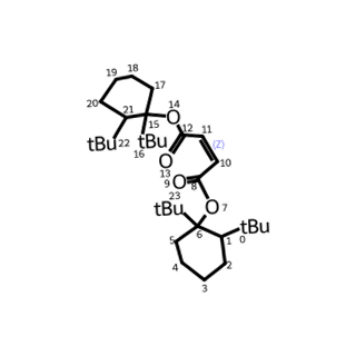 CC(C)(C)C1CCCCC1(OC(=O)/C=C\C(=O)OC1(C(C)(C)C)CCCCC1C(C)(C)C)C(C)(C)C